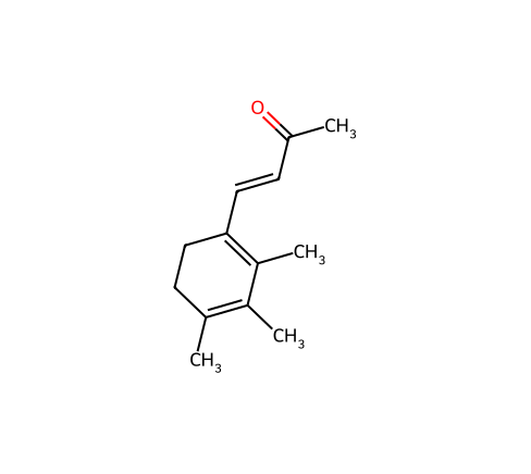 CC(=O)C=CC1=C(C)C(C)=C(C)CC1